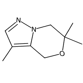 Cc1cnn2c1COC(C)(C)C2